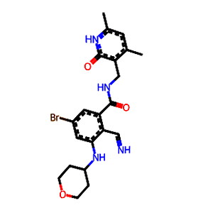 Cc1cc(C)c(CNC(=O)c2cc(Br)cc(NC3CCOCC3)c2C=N)c(=O)[nH]1